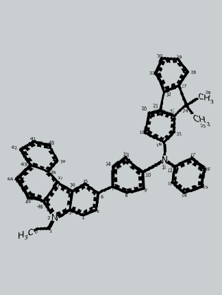 CCn1c2ccc(-c3ccc(N(c4ccccc4)c4ccc5c(c4)C(C)(C)c4ccccc4-5)cc3)cc2c2c3ccccc3ccc21